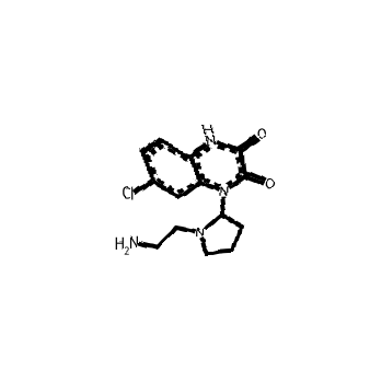 NCCN1CCCC1n1c(=O)c(=O)[nH]c2ccc(Cl)cc21